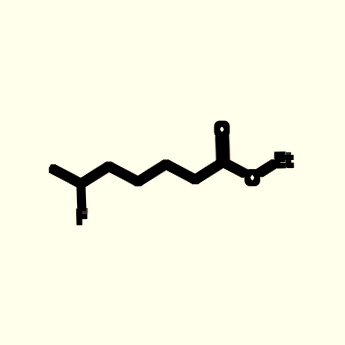 CCOC(=O)CCCCC(C)F